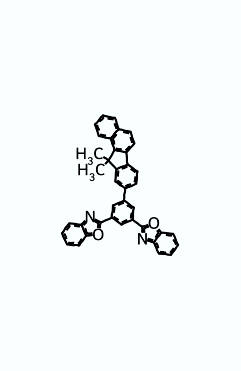 CC1(C)c2cc(-c3cc(-c4nc5ccccc5o4)cc(-c4nc5ccccc5o4)c3)ccc2-c2ccc3ccccc3c21